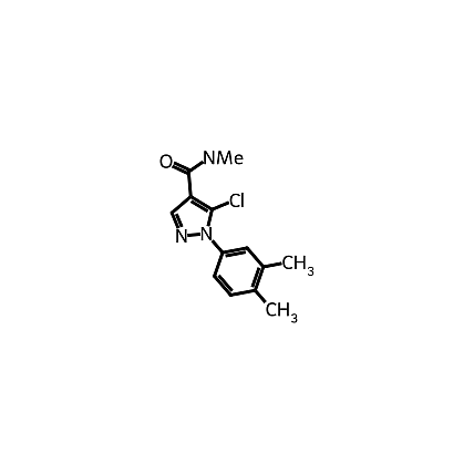 CNC(=O)c1cnn(-c2ccc(C)c(C)c2)c1Cl